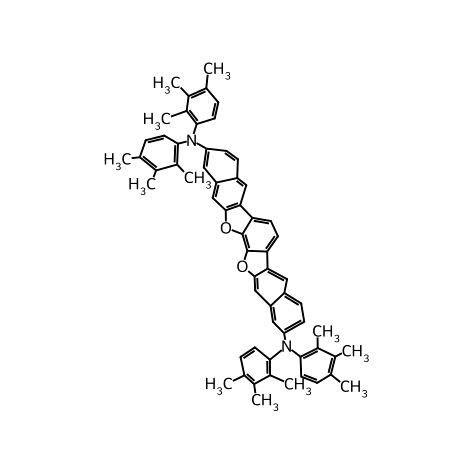 Cc1ccc(N(c2ccc3cc4c(cc3c2)oc2c4ccc3c4cc5ccc(N(c6ccc(C)c(C)c6C)c6ccc(C)c(C)c6C)cc5cc4oc32)c2ccc(C)c(C)c2C)c(C)c1C